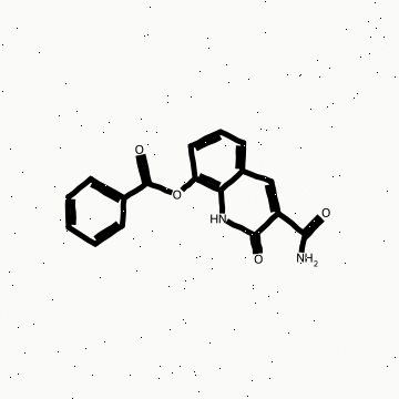 NC(=O)c1cc2cccc(OC(=O)c3ccccc3)c2[nH]c1=O